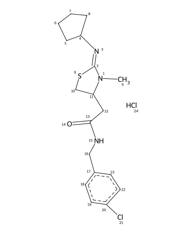 CN1/C(=N/C2CCCC2)SCC1CC(=O)NCc1ccc(Cl)cc1.Cl